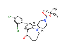 CC(C)(C)OC(=O)N1CC[C@@H]2[C@H](C1)c1cc(-c3ccc(Cl)cc3Cl)cc3c1N2CCCC3=O